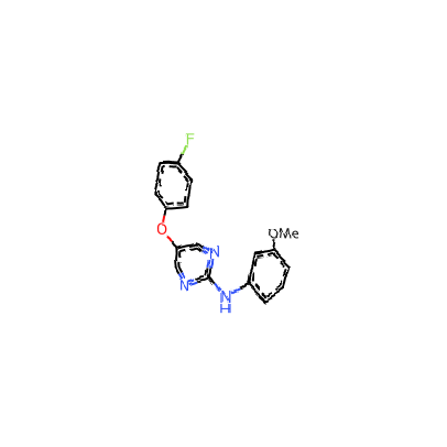 COc1cccc(Nc2ncc(Oc3ccc(F)cc3)cn2)c1